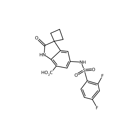 O=C(O)c1cc(NS(=O)(=O)c2ccc(F)cc2F)cc2c1NC(=O)C21CCC1